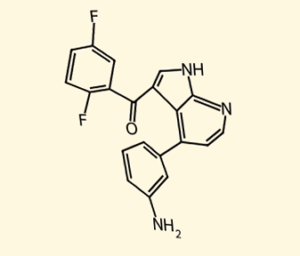 Nc1cccc(-c2ccnc3[nH]cc(C(=O)c4cc(F)ccc4F)c23)c1